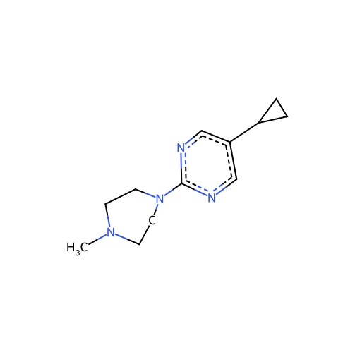 CN1CCN(c2ncc(C3CC3)cn2)CC1